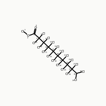 O=C(OCl)C(Cl)(Cl)C(Cl)(Cl)C(Cl)(Cl)C(Cl)(Cl)C(Cl)(Cl)C(Cl)(Cl)C(Cl)(Cl)C(Cl)(Cl)C(Cl)Cl